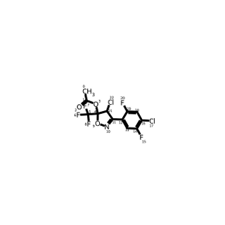 CC(=O)OC1(C(F)(F)F)ON=C(c2cc(F)c(Cl)cc2F)C1Cl